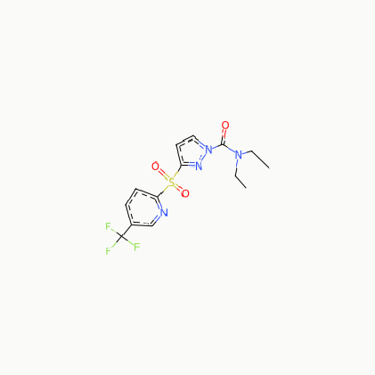 CCN(CC)C(=O)n1ccc(S(=O)(=O)c2ccc(C(F)(F)F)cn2)n1